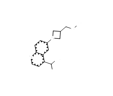 OC(O)c1ccnc2ccc(N3CC(COC(F)(F)F)C3)cc12